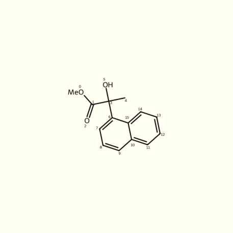 COC(=O)C(C)(O)c1cccc2ccccc12